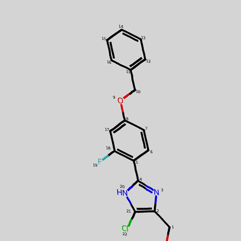 OCc1nc(-c2ccc(OCc3ccccc3)cc2F)[nH]c1Cl